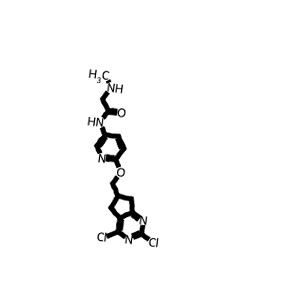 CNCC(=O)Nc1ccc(OCC2Cc3nc(Cl)nc(Cl)c3C2)nc1